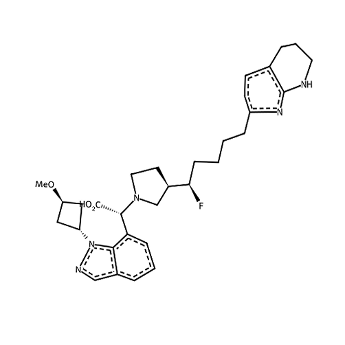 CO[C@H]1C[C@H](n2ncc3cccc([C@H](C(=O)O)N4CC[C@@H]([C@H](F)CCCCc5ccc6c(n5)NCCC6)C4)c32)C1